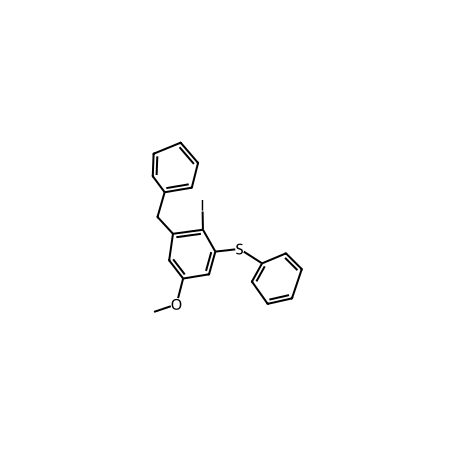 COc1cc(Cc2ccccc2)c(I)c(Sc2ccccc2)c1